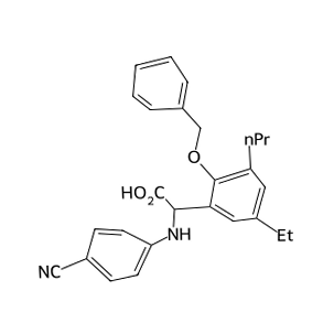 CCCc1cc(CC)cc(C(Nc2ccc(C#N)cc2)C(=O)O)c1OCc1ccccc1